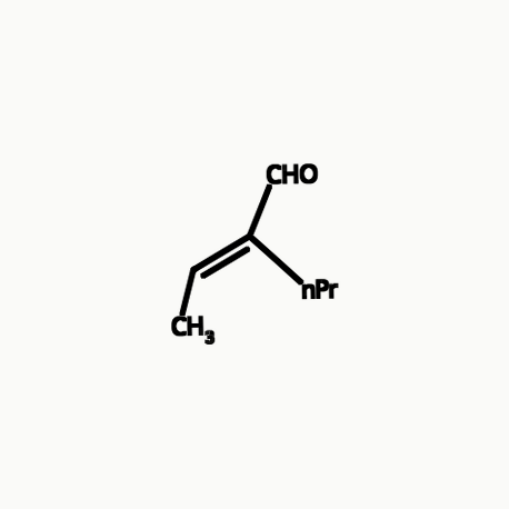 C/C=C(/C=O)CCC